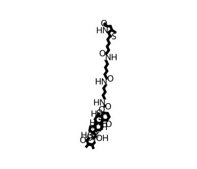 CC1=C(C)C(=O)O[C@@H]([C@](C)(O)[C@]2(O)CC[C@@]3(O)[C@@H]4C[C@H]5O[C@]56[C@@H](OC(=O)NCCCCCNC(=O)CCCCCNC(=O)CCCCC5SCC7CC(=O)NC75)C=CC(=O)[C@]6(C)[C@H]4CC[C@]23C)C1